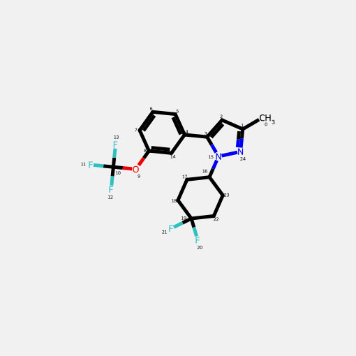 Cc1cc(-c2cccc(OC(F)(F)F)c2)n(C2CCC(F)(F)CC2)n1